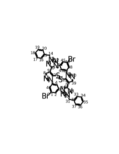 Brc1cccc(-n2ncc(-c3nnn(Cc4ccccc4)n3)c2SSc2c(-c3nnn(Cc4ccccc4)n3)cnn2-c2cccc(Br)c2)c1